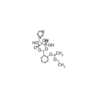 C=C(OCC)Oc1ccccc1C1OP(=O)(O)C(O)(Cn2ccnc2)P(=O)(O)O1